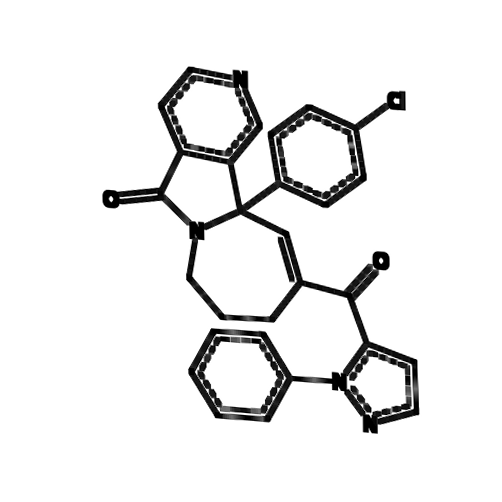 O=C(C1=CC2(c3ccc(Cl)cc3)c3cnccc3C(=O)N2CCC1)c1ccnn1-c1ccccc1